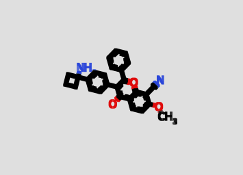 COc1ccc2c(=O)c(-c3ccc(C4(N)CCC4)cc3)c(-c3ccccc3)oc2c1C#N